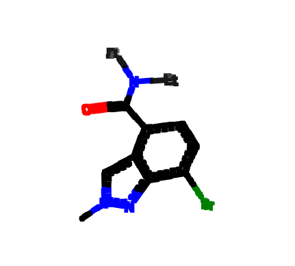 CCN(CC)C(=O)c1ccc(Br)c2nn(C)cc12